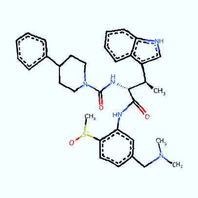 C[C@H](c1c[nH]c2ccccc12)[C@@H](NC(=O)N1CCC(c2ccccc2)CC1)C(=O)Nc1cc(CN(C)C)ccc1[S+](C)[O-]